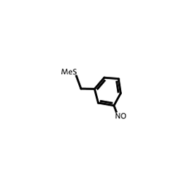 CSCc1cccc(N=O)c1